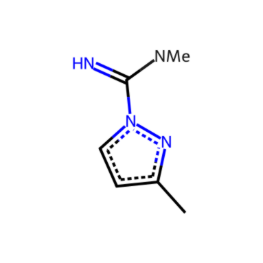 CNC(=N)n1ccc(C)n1